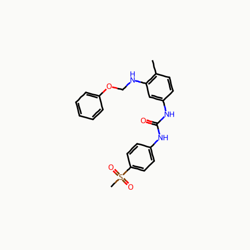 Cc1ccc(NC(=O)Nc2ccc(S(C)(=O)=O)cc2)cc1NCOc1ccccc1